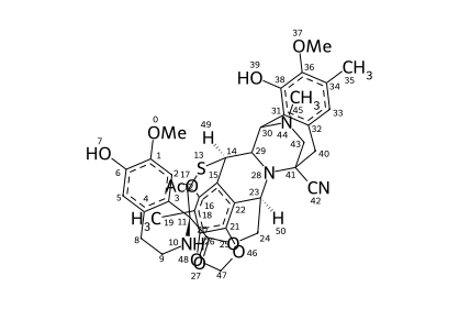 COc1cc2c(cc1O)CCN[C@]21CS[C@@H]2c3c(OC(C)=O)c(C)c4c(c3[C@H](COC1=O)N1C2C2c3c(cc(C)c(OC)c3O)CC1(C#N)CN2C)OCO4